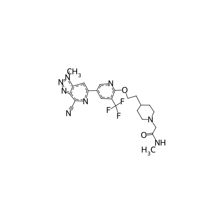 CNC(=O)CN1CCC(CCOc2ncc(-c3cc4c(nnn4C)c(C#N)n3)cc2C(F)(F)F)CC1